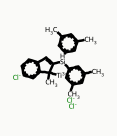 Cc1cc(C)cc([SiH](C2=Cc3ccccc3[C]2(C)[Ti+3])c2cc(C)cc(C)c2)c1.[Cl-].[Cl-].[Cl-]